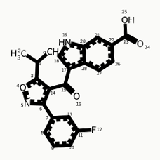 CC(C)c1onc(-c2cccc(F)c2)c1C(=O)c1c[nH]c2cc(C(=O)O)ccc12